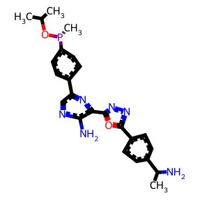 CC(C)OP(C)c1ccc(-c2cnc(N)c(-c3nnc(-c4ccc(C(C)N)cc4)o3)n2)cc1